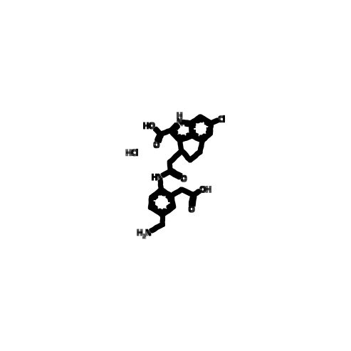 Cl.NCc1ccc(NC(=O)CC2CCc3cc(Cl)cc4[nH]c(C(=O)O)c2c34)c(CC(=O)O)c1